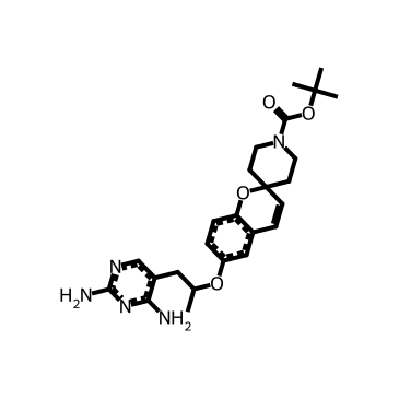 CC(Cc1cnc(N)nc1N)Oc1ccc2c(c1)C=CC1(CCN(C(=O)OC(C)(C)C)CC1)O2